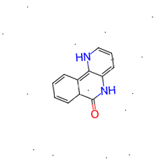 O=C1NC2=CC=CNC2=C2C=CC=CC12